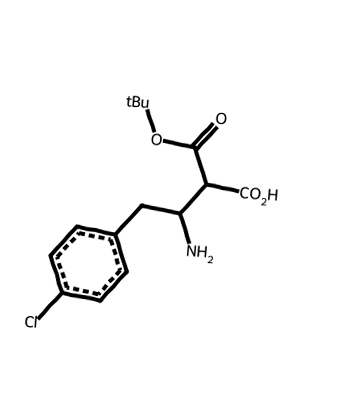 CC(C)(C)OC(=O)C(C(=O)O)C(N)Cc1ccc(Cl)cc1